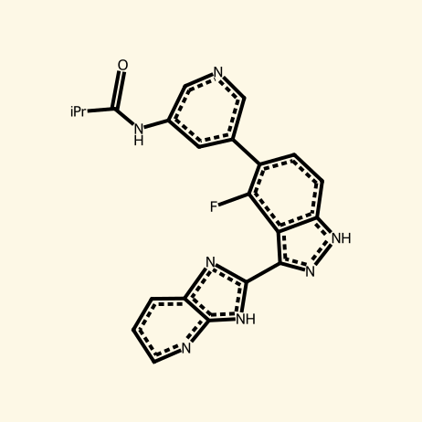 CC(C)C(=O)Nc1cncc(-c2ccc3[nH]nc(-c4nc5cccnc5[nH]4)c3c2F)c1